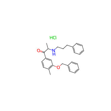 Cc1ccc(C(=O)C(C)NCCCc2ccccc2)cc1OCc1ccccc1.Cl